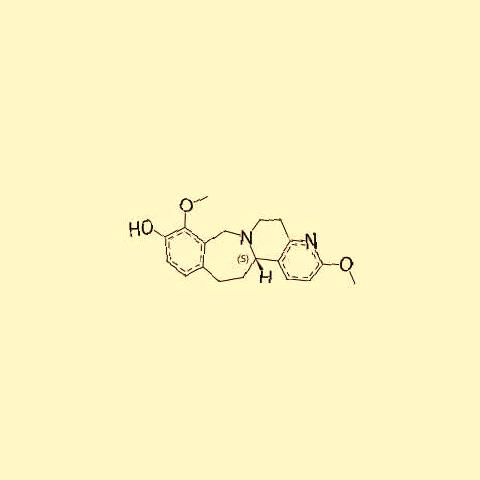 COc1ccc2c(n1)CCN1Cc3c(ccc(O)c3OC)CC[C@@H]21